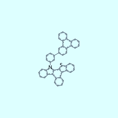 c1cc(-c2ccc3c4ccccc4c4ccccc4c3c2)cc(-n2c3ccccc3c3c4ccccc4c4c5ccccc5sc4c32)c1